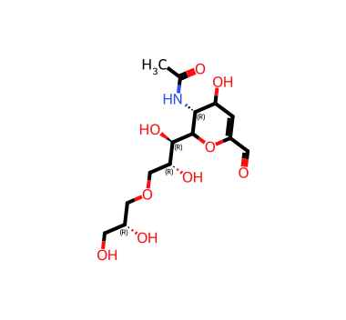 CC(=O)N[C@@H]1C(O)C=C(C=O)OC1[C@H](O)[C@H](O)COC[C@H](O)CO